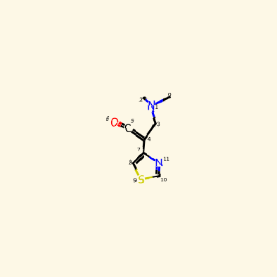 CN(C)CC(=C=O)c1cscn1